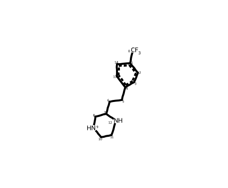 FC(F)(F)c1ccc(CCC2CNCCN2)cc1